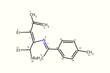 C=C(C)/C(CC)=C(\N=C(/C)c1ccc(C)cc1)C(CC)CCCC